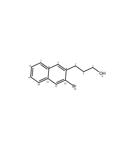 OCCCc1cc2ccccc2cc1Br